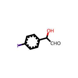 O=CC(O)c1ccc(I)cc1